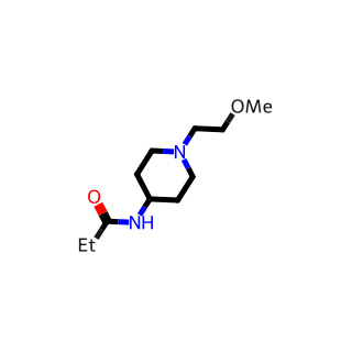 CCC(=O)NC1CCN(CCOC)CC1